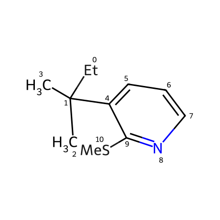 CCC(C)(C)c1cccnc1SC